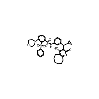 O=c1oc2c(c(O)c1C(c1cccc(NS(=O)(=O)c3cccc(N4CCOCC4)c3S(=O)(=O)c3ccccc3)c1)C1CC1)CCCCCC2